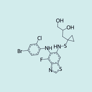 OCC(O)CC1(SNc2cc3scnc3c(F)c2Nc2ccc(Br)cc2Cl)CC1